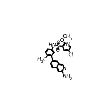 COc1ncc(Cl)cc1S(=O)(=O)Nc1ccc(C)c(-c2ccc3cc(N)ncc3c2)c1